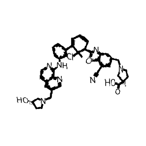 CC1(Cl)C(c2cccc(Nc3nccc4cc(CN5CC[C@H](O)C5)cnc34)c2)=CC=CC1c1nc2cc(CN3CC[C@@](C)(C(=O)O)C3)cc(C#N)c2o1